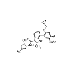 COc1cc(-c2ccnc3c(C(=O)NC4CN(C(C)=O)CC4O)c(C)[nH]c23)c(OCC2CC2)cc1F